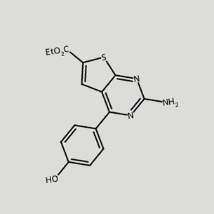 CCOC(=O)c1cc2c(-c3ccc(O)cc3)nc(N)nc2s1